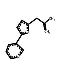 C=C(C)Cc1ccc(-c2cccnc2)s1